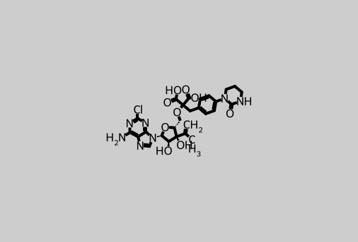 C=C(C)[C@@]1(O)[C@@H](COC(Cc2ccc(N3CCCNC3=O)cc2)(C(=O)O)C(=O)O)O[C@@H](n2cnc3c(N)nc(Cl)nc32)[C@@H]1O